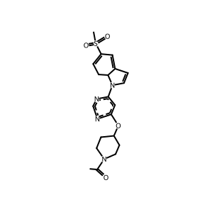 CC(=O)N1CCC(Oc2cc(N3C=CC4=CC(S(C)(=O)=O)=CCC43)ncn2)CC1